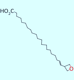 O=C(O)CCCCCCCCCCCCCCCCCCC=CC1COC1